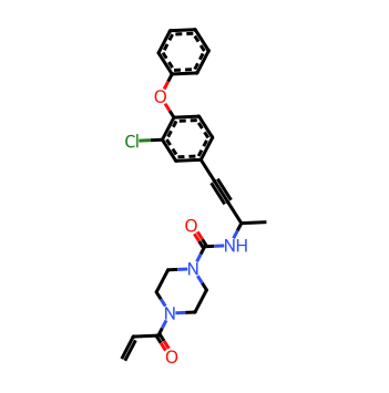 C=CC(=O)N1CCN(C(=O)NC(C)C#Cc2ccc(Oc3ccccc3)c(Cl)c2)CC1